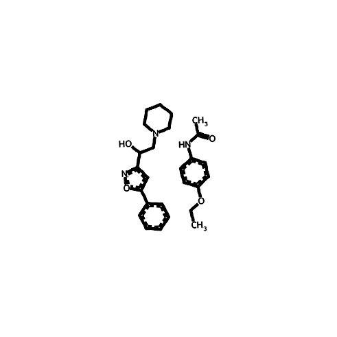 CCOc1ccc(NC(C)=O)cc1.OC(CN1CCCCC1)c1cc(-c2ccccc2)on1